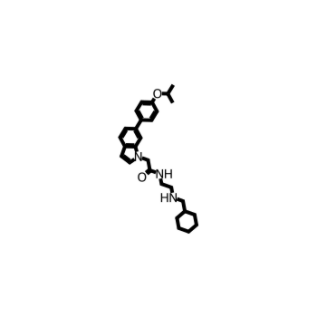 CC(C)Oc1ccc(-c2ccc3ccn(CC(=O)NCCNCC4CCCCC4)c3c2)cc1